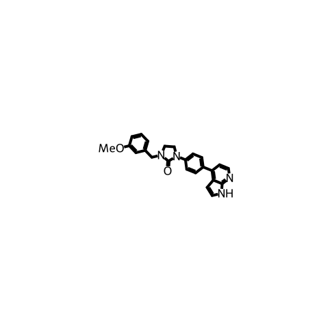 COc1cccc(CN2CCN(c3ccc(-c4ccnc5[nH]ccc45)cc3)C2=O)c1